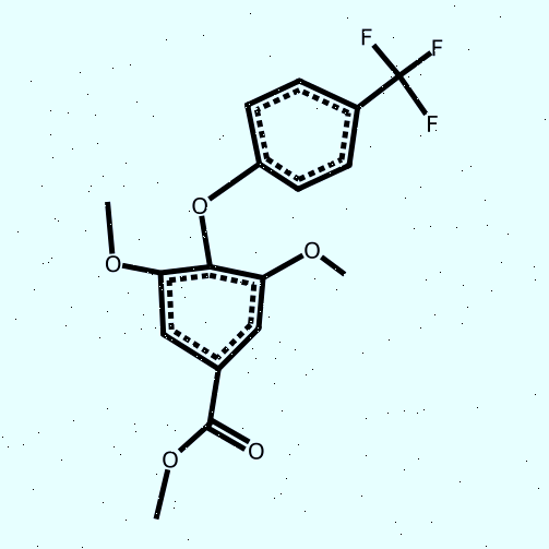 COC(=O)c1cc(OC)c(Oc2ccc(C(F)(F)F)cc2)c(OC)c1